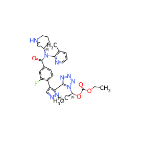 CCOC(=O)O[C@@H](C)n1nnnc1-c1c(-c2ccc(C(=O)N(c3ncccc3C)[C@@H]3CCCNC3)cc2F)cnn1C